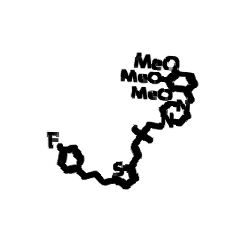 COc1ccc(CN2CCN(CCC(C)(C)CCc3ccc(CCCc4ccc(F)cc4)s3)CC2)c(OC)c1OC